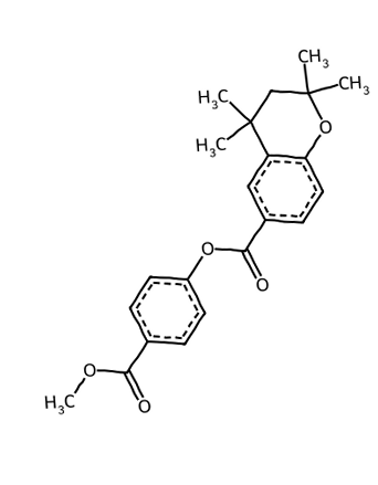 COC(=O)c1ccc(OC(=O)c2ccc3c(c2)C(C)(C)CC(C)(C)O3)cc1